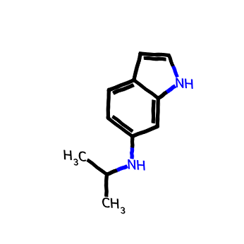 CC(C)Nc1ccc2cc[nH]c2c1